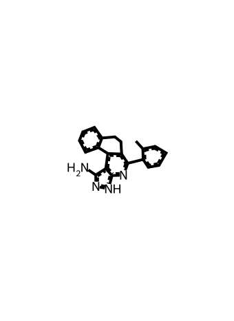 Cc1ccccc1-c1nc2[nH]nc(N)c2c2c1CCc1ccccc1-2